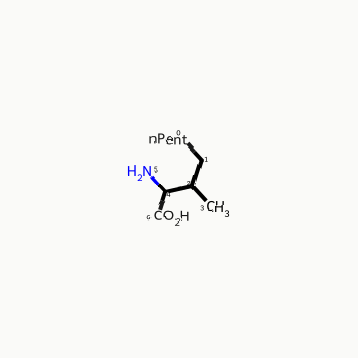 CCCCCCC(C)C(N)C(=O)O